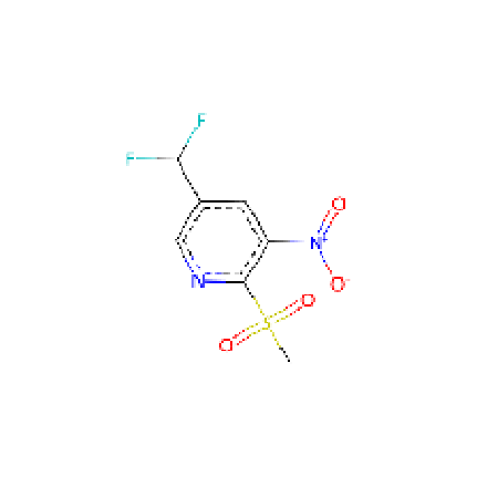 CS(=O)(=O)c1ncc(C(F)F)cc1[N+](=O)[O-]